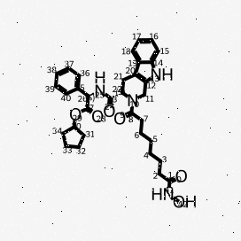 O=C(CCCCCCC(=O)N1Cc2[nH]c3ccccc3c2C[C@H]1C(=O)N[C@H](C(=O)OC1CCCC1)c1ccccc1)NO